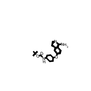 CC(C)(C)OC(=O)NC1CCC(Oc2ccc3c(N)nccc3c2)CC1